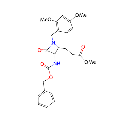 COC(=O)CCC1C(NC(=O)OCc2ccccc2)C(=O)N1Cc1ccc(OC)cc1OC